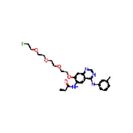 C=CC(=O)Nc1cc2c(Nc3cccc(I)c3)ncnc2cc1OCCOCCOCCOCCF